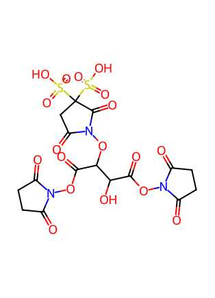 O=C(ON1C(=O)CCC1=O)C(O)C(ON1C(=O)CC(S(=O)(=O)O)(S(=O)(=O)O)C1=O)C(=O)ON1C(=O)CCC1=O